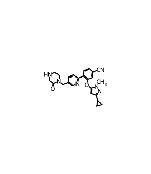 Cn1nc(C2CC2)cc1Oc1cc(C#N)ccc1-c1ccc(CN2CCNCC2=O)cn1